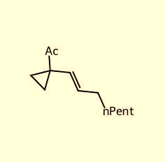 CCCCCCC=CC1(C(C)=O)CC1